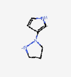 [c]1[nH]ccc1N1CCCN1